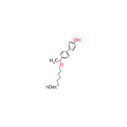 CCCCCCCCCCCCCCCCOC(C)c1ccc(-c2ccc(O)cc2)cc1